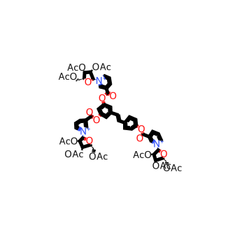 CC(=O)OC[C@H]1O[C@@H]([n+]2cccc(C(=O)Oc3ccc(/C=C/c4cc(OC(=O)c5ccc[n+]([C@@H]6O[C@H](COC(C)=O)[C@@H](OC(C)=O)[C@H]6OC(C)=O)c5)cc(OC(=O)c5ccc[n+]([C@@H]6O[C@H](COC(C)=O)[C@@H](OC(C)=O)[C@H]6OC(C)=O)c5)c4)cc3)c2)[C@H](OC(C)=O)[C@@H]1OC(C)=O